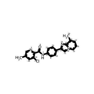 Cc1cnc(C(=O)Nc2ccc(-c3cn4cccc(C)c4n3)cc2)c(Cl)c1